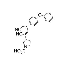 N#CCN(C=C(C#N)C1CCN(C(=O)O)C1)c1ccc(Oc2ccccc2)cc1